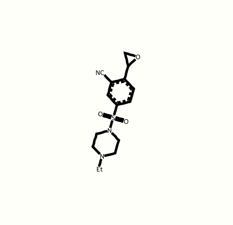 CCN1CCN(S(=O)(=O)c2ccc(C3CO3)c(C#N)c2)CC1